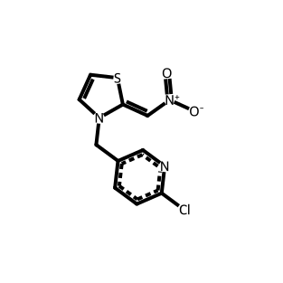 O=[N+]([O-])C=C1SC=CN1Cc1ccc(Cl)nc1